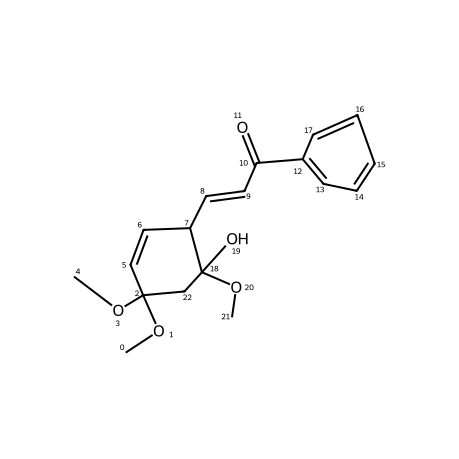 COC1(OC)C=CC(C=CC(=O)c2ccccc2)C(O)(OC)C1